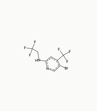 FC(F)(F)CNc1cc(C(F)(F)F)c(Br)cn1